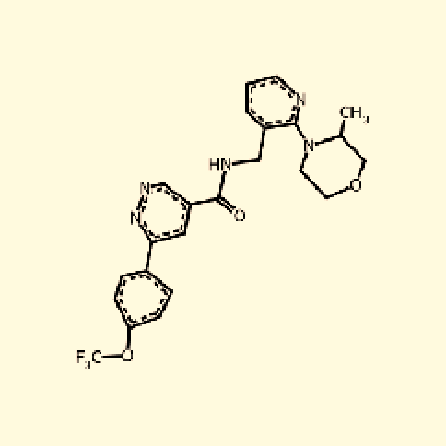 CC1COCCN1c1ncccc1CNC(=O)c1cnnc(-c2ccc(OC(F)(F)F)cc2)c1